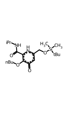 CCCCOc1c(C(=O)NC(C)C)[nH]c(CO[Si](C)(C)C(C)(C)C)cc1=O